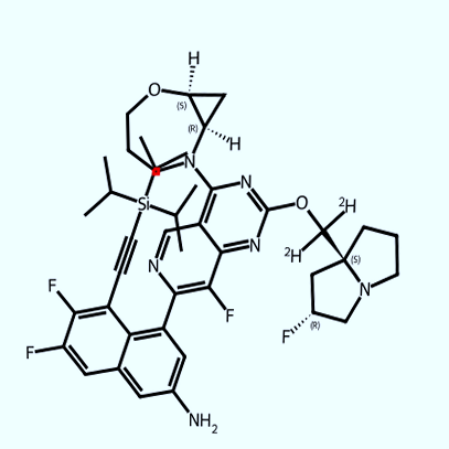 [2H]C([2H])(Oc1nc(N2CCCO[C@H]3C[C@H]32)c2cnc(-c3cc(N)cc4cc(F)c(F)c(C#C[Si](C(C)C)(C(C)C)C(C)C)c34)c(F)c2n1)[C@@]12CCCN1C[C@H](F)C2